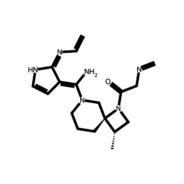 C=C/N=C1/NC=C/C1=C(/N)N1CCC[C@]2(C1)[C@@H](C)CN2C(=O)CN=C